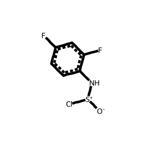 [O-][S+](Cl)Nc1ccc(F)cc1F